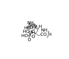 N.N.N.O=C(O)CC(CC(=O)O)(OP(=O)(O)O)C(=O)O.O=S(=O)(O)O